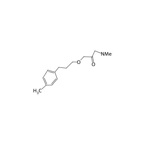 CNCC(=O)COCCCc1ccc(C)cc1